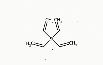 C=C[Si](C=C)(C=C)C=C